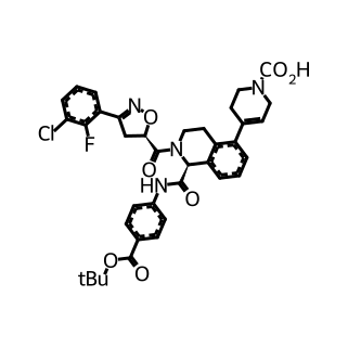 CC(C)(C)OC(=O)c1ccc(NC(=O)[C@@H]2c3cccc(C4=CCN(C(=O)O)CC4)c3CCN2C(=O)[C@H]2CC(c3cccc(Cl)c3F)=NO2)cc1